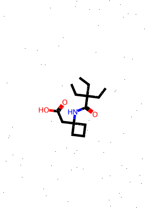 CCC(CC)(CC)C(=O)NC1(CC(=O)O)CCC1